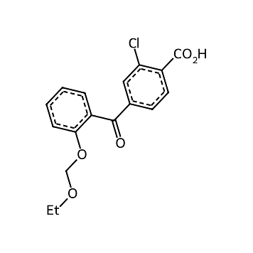 CCOCOc1ccccc1C(=O)c1ccc(C(=O)O)c(Cl)c1